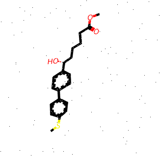 COC(=O)CCCC[C@@H](O)c1ccc(-c2ccc(SC)cc2)cc1